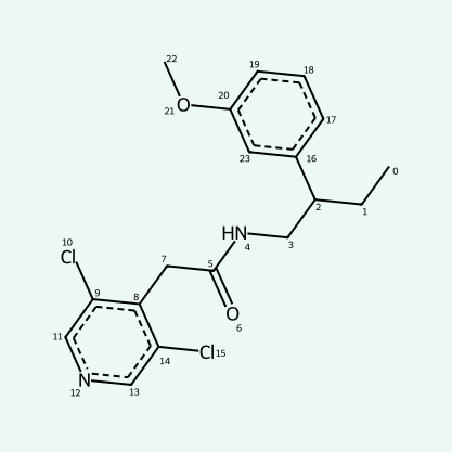 CCC(CNC(=O)Cc1c(Cl)cncc1Cl)c1cccc(OC)c1